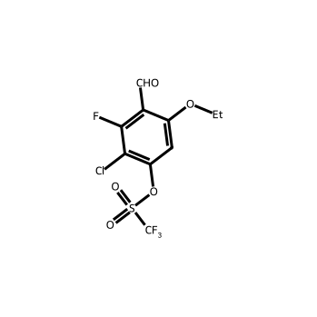 CCOc1cc(OS(=O)(=O)C(F)(F)F)c(Cl)c(F)c1C=O